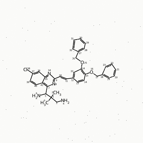 CC(C)(CN)C(N)c1nc(C=Cc2ccc(OCc3ccccc3)c(OCc3ccccc3)c2)nc2cc(Cl)ccc12